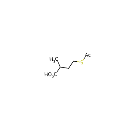 CC(=O)SCCC(C)C(=O)O